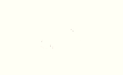 CN(C)CC[CH]c1cscn1